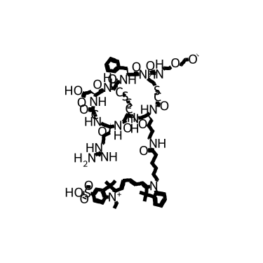 CC[N+]1=C(/C=C/C=C/C=C2/N(CCCCCC(=O)NCCCC[C@@H]3NC(=O)CSC[C@@H](C(=O)NCCOCCOC)NC(=O)[C@H](Cc4ccccc4)NC(=O)[C@@H]4CSSC[C@H](NC3=O)C(=O)N[C@@H](CCCNC(=N)N)C(=O)NCC(=O)N[C@@H](CC(=O)O)C(=O)N4)c3ccccc3C2(C)C)C(C)(C)c2cc(S(=O)(=O)O)ccc21